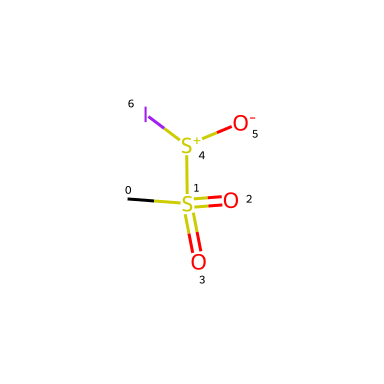 CS(=O)(=O)[S+]([O-])I